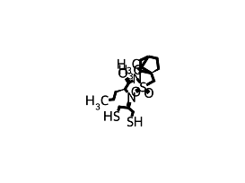 CCC[C@H](N=C(CS)CS)C(=O)N1C2CC3CC[C@]2(CS1(=O)=O)C3(C)C